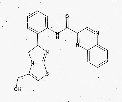 O=C(Nc1ccccc1C1CN2C(CO)=CSC2=N1)c1cnc2ccccc2n1